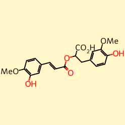 COc1ccc(C=CC(=O)OC(Cc2ccc(O)c(OC)c2)C(=O)O)cc1O